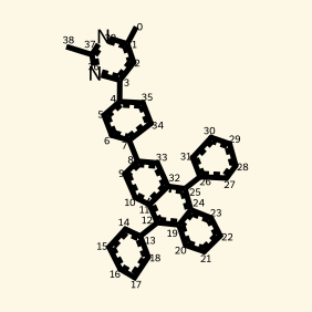 Cc1cc(-c2ccc(-c3ccc4c(-c5ccccc5)c5ccccc5c(-c5ccccc5)c4c3)cc2)nc(C)n1